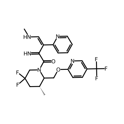 CN/C=C(\C(=N)C(=O)N1CC(F)(F)C[C@@H](C)C1COc1ccc(C(F)(F)F)cn1)c1ccccn1